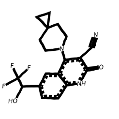 N#Cc1c(N2CCC3(CC2)CC3)c2cc(C(O)C(F)(F)F)ccc2[nH]c1=O